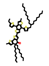 CCCCCCCCCCC(CCCCCCCC)Cc1ccc(-c2c3cc(-c4cc5c(s4)-c4sc(C)cc4C(CCCCCCCC)(CCCCCCCC)C5=O)sc3c(-c3ccc(CC)s3)c3cc(C)sc23)s1